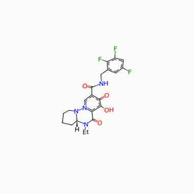 CCN1C(=O)c2c(O)c(=O)c(C(=O)NCc3cc(F)cc(F)c3F)cn2N2CCCC[C@@H]12